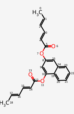 CC=CC=CC(=O)Oc1cc(OC(=O)C=CC=CC)c2ccccc2c1